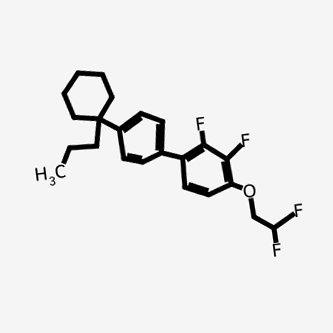 CCCC1(c2ccc(-c3ccc(OCC(F)F)c(F)c3F)cc2)CCCCC1